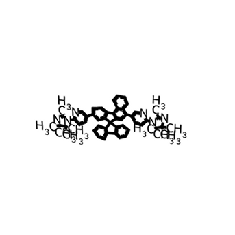 CC1=NC(C)(C)C(C)(C)N1c1ccc(-c2ccc3c(c2)C2(c4ccccc4-c4ccccc42)c2cc(-c4ccc(N5C(C)=NC(C)(C)C5(C)C)nc4)c4ccccc4c2-3)cn1